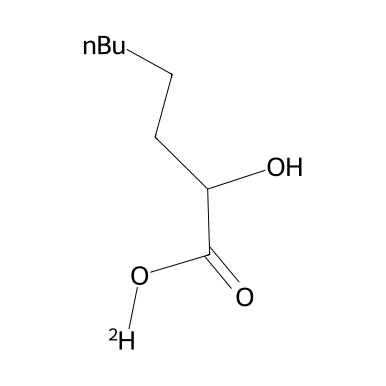 [2H]OC(=O)C(O)CCCCCC